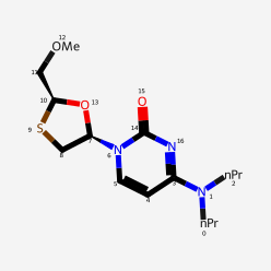 CCCN(CCC)c1ccn([C@H]2CS[C@@H](COC)O2)c(=O)n1